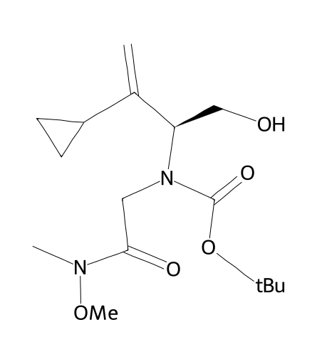 C=C(C1CC1)[C@@H](CO)N(CC(=O)N(C)OC)C(=O)OC(C)(C)C